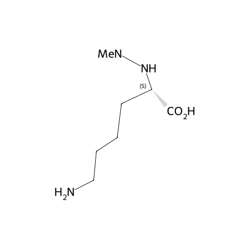 CNN[C@@H](CCCCN)C(=O)O